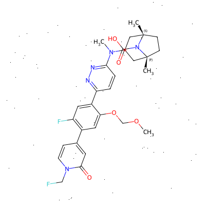 COCOc1cc(-c2ccn(CF)c(=O)c2)c(F)cc1-c1ccc(N(C)C2C[C@]3(C)CC[C@](C)(C2)N3C(=O)O)nn1